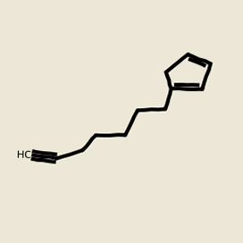 C#CCCCCCC1=CC=CC1